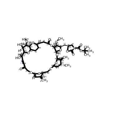 C=C1C[C@@H]2CCC(=O)/C=C/[C@H](O)[C@@H]3OC4CC[C@H](CC(=O)C[C@@H]5[C@@H](OC)[C@@H](C[C@H]6CN(C(=O)OC(C)(C)C)C(=O)O6)O[C@H]5C[C@H]5O[C@@H](CC[C@@H]1O2)C[C@@H](C)C5=C)O[C@@H]4[C@H](OS)[C@@H]3O